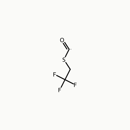 O=[C]SCC(F)(F)F